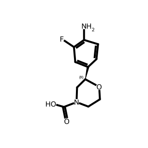 Nc1ccc([C@@H]2CN(C(=O)O)CCO2)cc1F